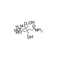 NC(=O)CCC(CCO)(CCO)C(CCO)(CCO)C(N)=O